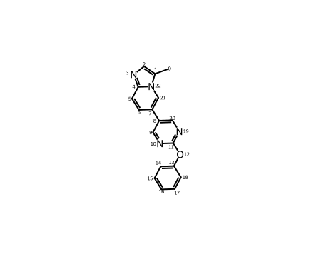 Cc1cnc2ccc(-c3cnc(Oc4ccccc4)nc3)cn12